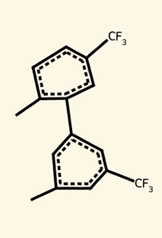 Cc1cc(-c2cc(C(F)(F)F)ccc2C)cc(C(F)(F)F)c1